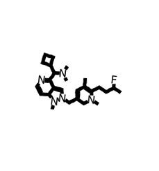 CC1=C(CCC(C)F)N(C)CC(CN2C=C3C(C(C4CCC4)N(C)C)=NC=CC3N2C)=C1